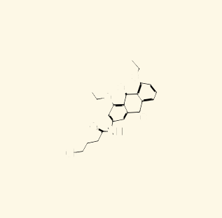 CCOc1cccc2c1C(=O)c1c(OCC)cc(NC(=O)CCCCl)cc1C2=O